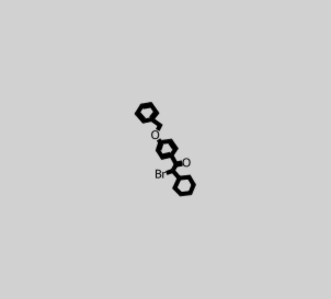 O=C(c1ccc(OCc2ccccc2)cc1)C(Br)C1CCCCC1